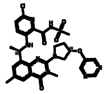 Cc1cc([C@@H](C)Nc2ccc(Cl)nc2C(=O)NS(C)(=O)=O)c2nc(N3CC[C@H](Oc4cncnc4)C3)n(C)c(=O)c2c1